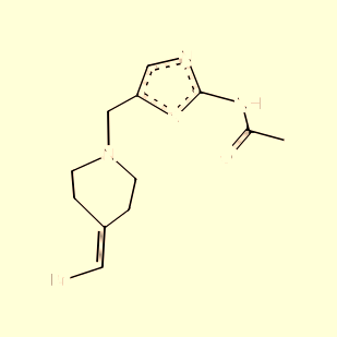 CC(=O)Nc1ncc(CN2CCC(=CBr)CC2)s1